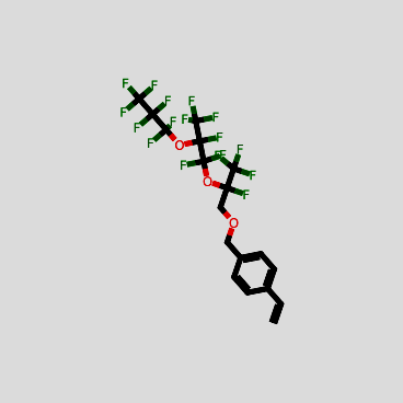 C=Cc1ccc(COCC(F)(OC(F)(F)C(F)(OC(F)(F)C(F)(F)C(F)(F)F)C(F)(F)F)C(F)(F)F)cc1